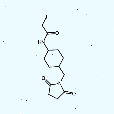 O=C(CI)NC1CCC(CN2C(=O)CCC2=O)CC1